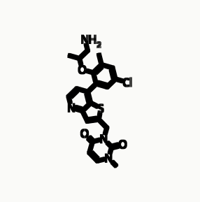 Cc1cc(Cl)cc(-c2ccnc3cc(Cn4c(=O)ccn(C)c4=O)sc23)c1OC(C)CN